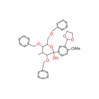 COc1ccc(C2(O)OC(COCc3ccccc3)C(OCc3ccccc3)C(C)C2OCc2ccccc2)cc1C1OCCO1